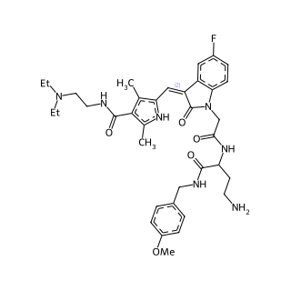 CCN(CC)CCNC(=O)c1c(C)[nH]c(/C=C2\C(=O)N(CC(=O)NC(CCN)C(=O)NCc3ccc(OC)cc3)c3ccc(F)cc32)c1C